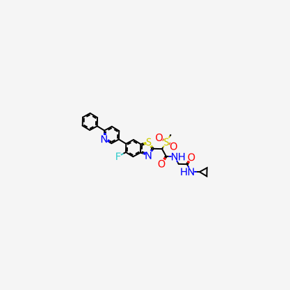 CS(=O)(=O)C(C(=O)NCC(=O)NC1CC1)c1nc2cc(F)c(-c3ccc(-c4ccccc4)nc3)cc2s1